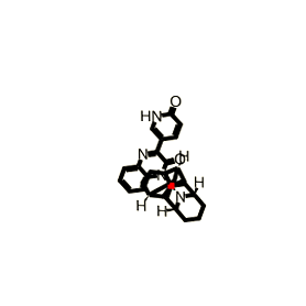 O=c1ccc(-c2nc3ccccc3n([C@H]3C[C@H]4CCC[C@@H](C3)N4[C@]34C[C@H]5CCC3[C@H](C5)C4)c2=O)c[nH]1